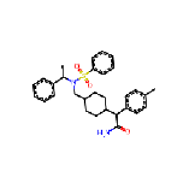 Cc1ccc(C(C(N)=O)C2CCC(CN([C@H](C)c3ccccc3)S(=O)(=O)c3ccccc3)CC2)cc1